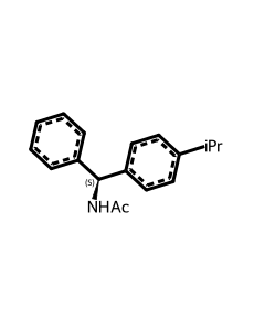 CC(=O)N[C@@H](c1ccccc1)c1ccc(C(C)C)cc1